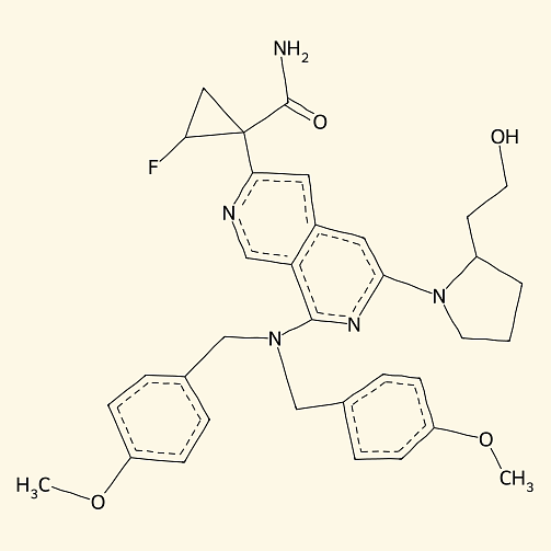 COc1ccc(CN(Cc2ccc(OC)cc2)c2nc(N3CCCC3CCO)cc3cc(C4(C(N)=O)CC4F)ncc23)cc1